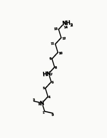 CCN(C)CCCNCCCCCCN